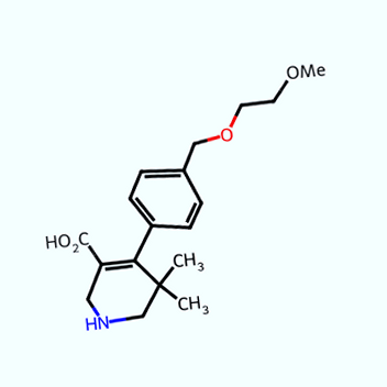 COCCOCc1ccc(C2=C(C(=O)O)CNCC2(C)C)cc1